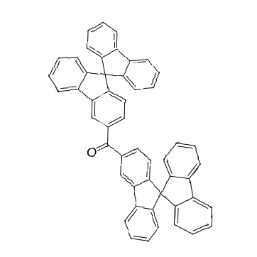 O=C(c1ccc2c(c1)-c1ccccc1C21c2ccccc2-c2ccccc21)c1ccc2c(c1)-c1ccccc1C21c2ccccc2-c2ccccc21